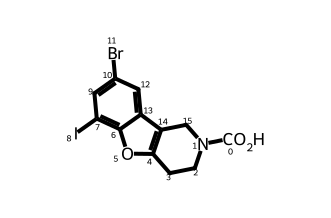 O=C(O)N1CCc2oc3c(I)cc(Br)cc3c2C1